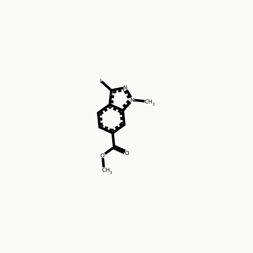 COC(=O)c1ccc2c(I)nn(C)c2c1